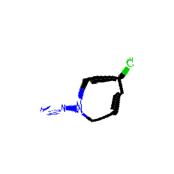 NN1C=C(Cl)C=CC1